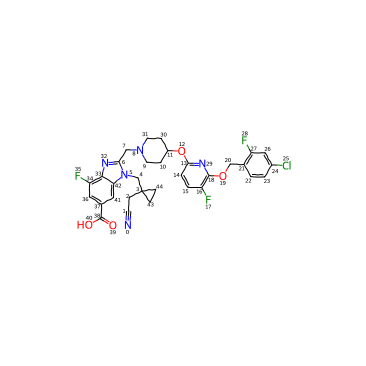 N#CCC1(Cn2c(CN3CCC(Oc4ccc(F)c(OCc5ccc(Cl)cc5F)n4)CC3)nc3c(F)cc(C(=O)O)cc32)CC1